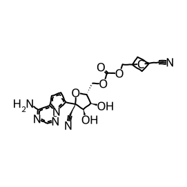 N#CC12CC(COC(=O)OC[C@H]3O[C@@](C#N)(c4ccc5c(N)ncnn45)[C@H](O)[C@@H]3O)(C1)C2